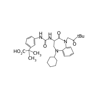 CC(C)(C)C(=O)CN1C(=O)C(NC(=O)Nc2cccc(C(C)(C)C(=O)O)c2)CN(C2CCCCC2)c2ccccc21